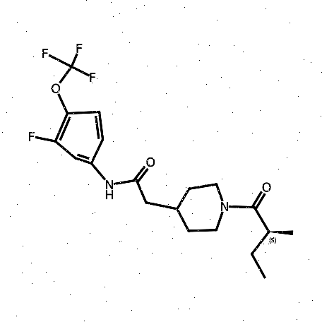 CC[C@H](C)C(=O)N1CCC(CC(=O)Nc2ccc(OC(F)(F)F)c(F)c2)CC1